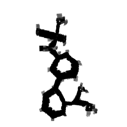 CC(C)c1ccccc1-c1cccc(NS(C)(=O)=O)c1